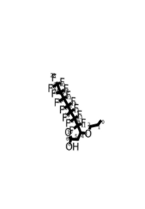 CCCOC(CC(=O)O)C(F)(F)C(F)(F)C(F)(F)C(F)(F)C(F)(F)C(F)(F)C(F)(F)F